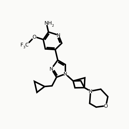 Nc1ncc(-c2cn(C34CC(N5CCOCC5)(C3)C4)c(CC3CC3)n2)cc1OC(F)(F)F